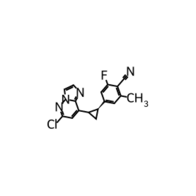 Cc1cc([C@H]2CC2c2cc(Cl)nn3ccnc23)cc(F)c1C#N